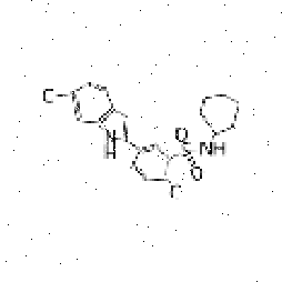 O=S(=O)(NC1CCCCC1)c1cc(-c2cc3ccc(Cl)cc3[nH]2)ccc1Cl